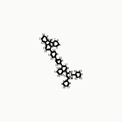 CC1(c2ccccc2)c2ccccc2-c2ccc(-c3ccc(-c4ccc(-c5ccc(-c6cc(-c7ccccc7)nc(-c7ccccc7)n6)c6ccccc56)cc4)cc3)cc21